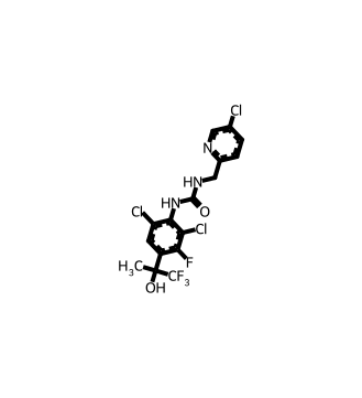 CC(O)(c1cc(Cl)c(NC(=O)NCc2ccc(Cl)cn2)c(Cl)c1F)C(F)(F)F